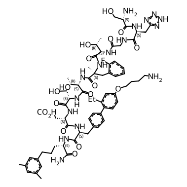 CCc1cc(OCCCCN)ccc1-c1ccc(C[C@H](NC(=O)[C@H](CC(=O)O)NC(=O)[C@H](CO)NC(=O)[C@@H](NC(=O)[C@](C)(Cc2ccccc2F)NC(=O)[C@@H](NC(=O)CNC(=O)[C@H](Cc2nn[nH]n2)NC(=O)[C@@H](N)CO)[C@@H](C)O)[C@@H](C)O)C(=O)N[C@@H](CCCc2cc(C)cc(C)c2)C(N)=O)cc1